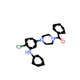 O=C(c1ccccc1)N1CCN(c2ccc(Cl)c(Nc3ccccc3)c2)CC1